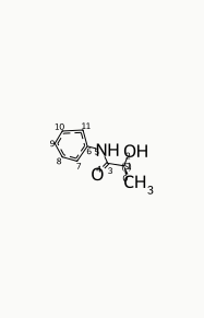 C[C@H](O)C(=O)Nc1ccccc1